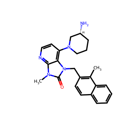 Cc1c(Cn2c(=O)n(C)c3nccc(N4CCC[C@@H](N)C4)c32)ccc2ccccc12